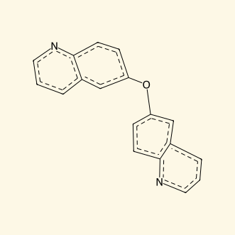 c1cnc2ccc(Oc3ccc4ncccc4c3)cc2c1